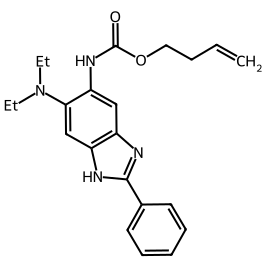 C=CCCOC(=O)Nc1cc2nc(-c3ccccc3)[nH]c2cc1N(CC)CC